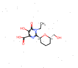 CCn1c([C@@H]2CCC[C@@H](CO)O2)nc(C(=O)O)c(O)c1=O